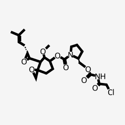 COC1C(OC(=O)N2CCC[C@H]2COC(=O)NC(=O)CCl)CCC2(CO2)C1C1O[C@@H]1CC=C(C)C